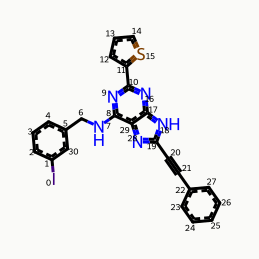 Ic1cccc(CNc2nc(-c3cccs3)nc3[nH]c(C#Cc4ccccc4)nc23)c1